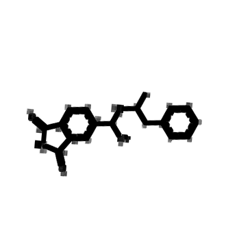 CCCC(NC(C)Cc1ccccc1)c1ccc2c(c1)C(=O)NC2=O